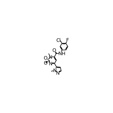 CN1C(C(=O)Nc2ccc(F)c(Cl)c2)=CC(c2ccnn2C)=NS1(=O)=O